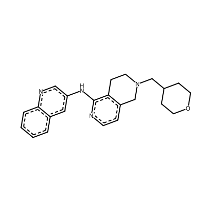 c1ccc2ncc(Nc3nccc4c3CCN(CC3CCOCC3)C4)cc2c1